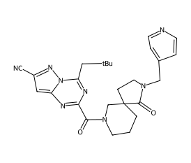 CC(C)(C)Cc1nc(C(=O)N2CCCC3(CCN(Cc4ccncc4)C3=O)C2)nc2cc(C#N)nn12